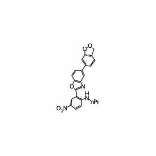 CCCNc1ccc([N+](=O)[O-])cc1-c1nc2cc(-c3ccc4c(c3)OOC4)ccc2o1